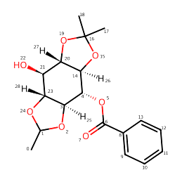 CC1O[C@@H]2[C@@H](OC(=O)c3ccccc3)[C@@H]3OC(C)(C)O[C@H]3[C@H](O)[C@H]2O1